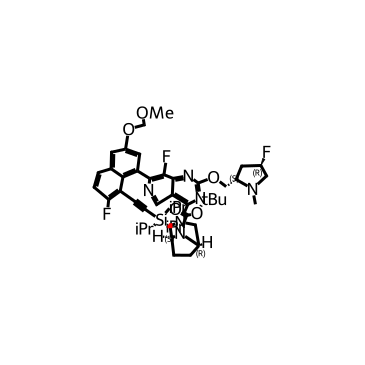 COCOc1cc(-c2ncc3c(N4C[C@H]5CC[C@@H](C4)N5C(=O)OC(C)(C)C)nc(OC[C@@H]4C[C@@H](F)CN4C)nc3c2F)c2c(C#C[Si](C(C)C)(C(C)C)C(C)C)c(F)ccc2c1